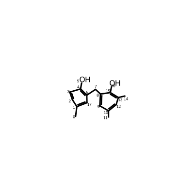 Cc1ccc(O)c(Cc2cc(C)cc(C)c2O)c1